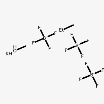 CCC.CO.F[B-](F)(F)F.F[B-](F)(F)F.F[B-](F)(F)F.[KH]